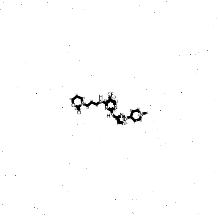 CN1CCC(n2ncc(Nc3ncc(C(F)(F)F)c(NCCCN4CCCOC4=O)n3)n2)CC1